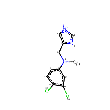 CN(Cc1c[nH]cn1)c1ccc(Cl)c(Cl)c1